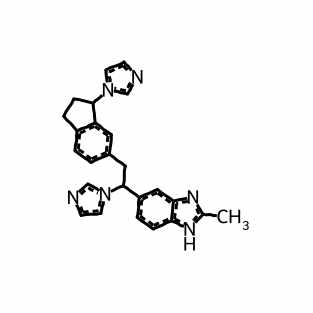 Cc1nc2cc(C(Cc3ccc4c(c3)C(n3ccnc3)CC4)n3ccnc3)ccc2[nH]1